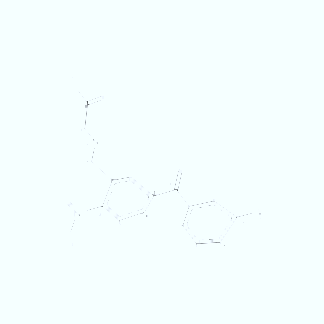 O=C(O)CNCc1cc(C(=O)c2cccc(Br)c2)ccc1[N+](=O)[O-]